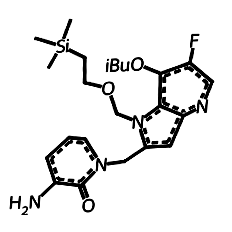 CC(C)COc1c(F)cnc2cc(Cn3cccc(N)c3=O)n(COCC[Si](C)(C)C)c12